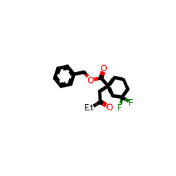 CCC(=O)CC1(C(=O)OCc2ccccc2)CCCC(F)(F)C1